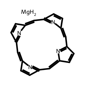 C1=CC2=NC1=CC1=NC(=CC3=NC(=CC4=NC(=C2)C=C4)C=C3)C=C1.[MgH2]